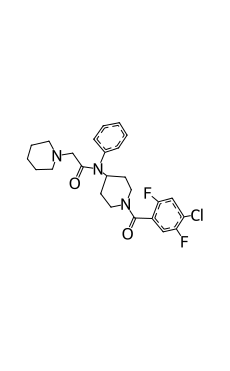 O=C(c1cc(F)c(Cl)cc1F)N1CCC(N(C(=O)CN2CCCCC2)c2ccccc2)CC1